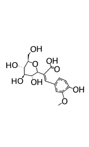 COc1cc(C=C(C(=O)O)C2O[C@H](CO)[C@@H](O)[C@H](O)[C@H]2O)ccc1O